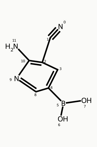 N#Cc1cc(B(O)O)cnc1N